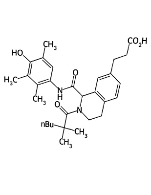 CCCCC(C)(C)C(=O)N1CCc2ccc(CCC(=O)O)cc2C1C(=O)Nc1cc(C)c(O)c(C)c1C